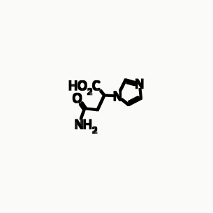 NC(=O)CC(C(=O)O)n1ccnc1